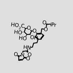 CC(C)C(=O)OCc1ccc(CCCNC(=O)CN2C(=O)C=CC2=O)cc1OC1O[C@H](C(=O)O)[C@@H](O)[C@H](O)[C@H]1O